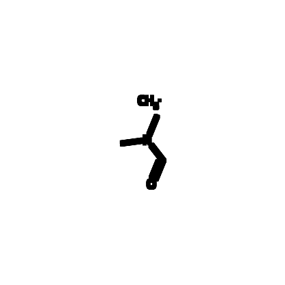 CN(C)C=O.[CH3]